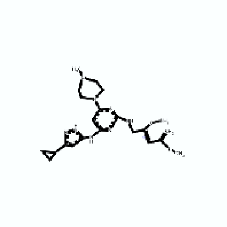 C=C(/C=C(/CNc1nc(Nc2cc(C3CC3)n[nH]2)cc(N2CCN(C)CC2)n1)ON)CC